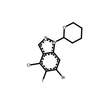 Clc1c(I)c(Br)cc2c1cnn2C1CCCCO1